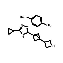 C1CC1c1nnc(C23CC(C4CNC4)(C2)C3)[nH]1.Cc1ccc(S(=O)(=O)O)cc1